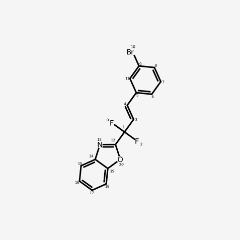 FC(F)(C=Cc1cccc(Br)c1)c1nc2ccccc2o1